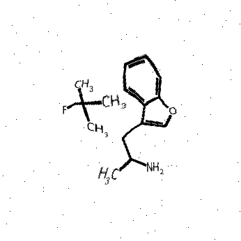 CC(C)(C)F.CC(N)Cc1coc2ccccc12